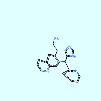 NCCc1cc2cccnc2cc1C(c1ccccn1)c1cnc[nH]1